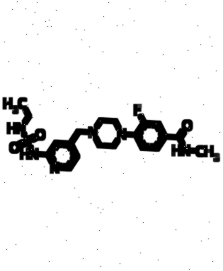 CCNS(=O)(=O)Nc1cc(CN2CCN(c3ccc(C(=O)NC)cc3F)CC2)ccn1